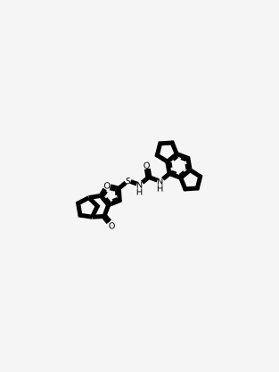 O=C(NSc1cc2c(o1)C1CCC(C1)C2=O)Nc1c2c(cc3c1CCC3)CCC2